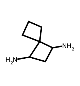 NC1CC(N)C12CCC2